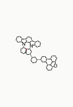 c1ccc(-n2c3ccccc3c3ccc4c5ccccc5n(-c5cccc(-c6cccc(-c7ccc8c(c7)c7cccc9oc%10cccc8c%10c97)c6)c5)c4c32)cc1